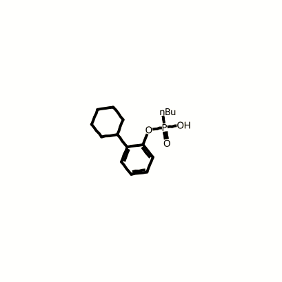 CCCCP(=O)(O)Oc1ccccc1C1CCCCC1